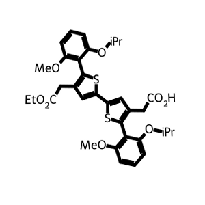 CCOC(=O)Cc1cc(-c2cc(CC(=O)O)c(-c3c(OC)cccc3OC(C)C)s2)sc1-c1c(OC)cccc1OC(C)C